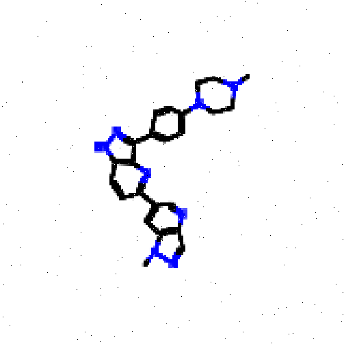 CN1CCN(c2ccc(-c3n[nH]c4ccc(-c5cnc6cnn(C)c6c5)nc34)cc2)CC1